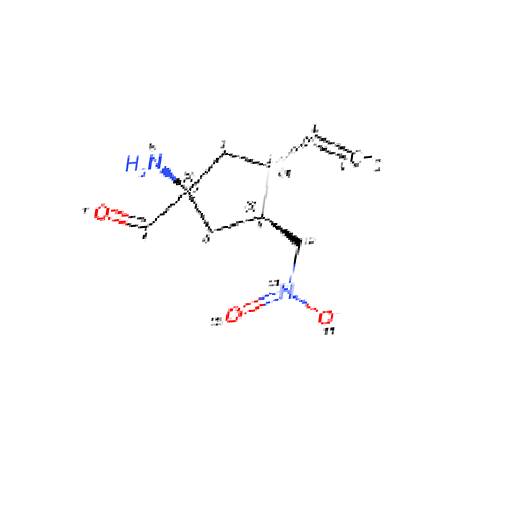 C=C[C@H]1C[C@@](N)(C=O)C[C@@H]1C[N+](=O)[O-]